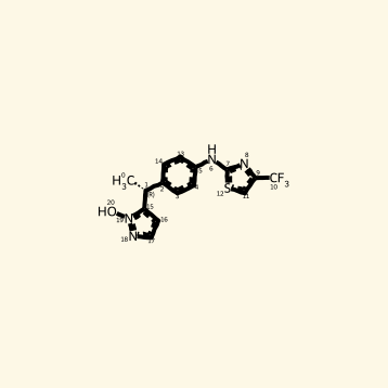 C[C@H](c1ccc(Nc2nc(C(F)(F)F)cs2)cc1)c1ccnn1O